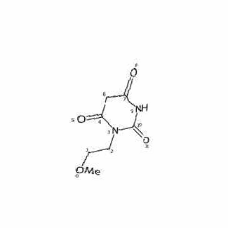 COCCN1C(=O)CC(=O)NC1=O